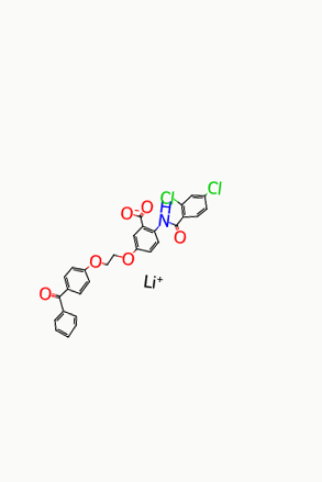 O=C(c1ccccc1)c1ccc(OCCOc2ccc(NC(=O)c3ccc(Cl)cc3Cl)c(C(=O)[O-])c2)cc1.[Li+]